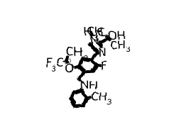 Cc1ccccc1NCc1cc(F)c(-c2cn(C)c(C(C)(C)O)n2)cc1O[C@@H](C)C(F)(F)F